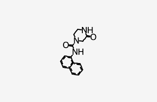 O=C1CN(C(=O)Nc2cccc3ccccc23)CCN1